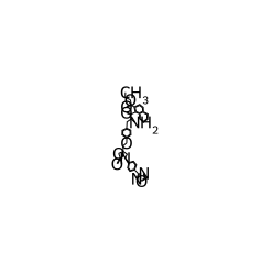 CCOC(=O)c1ccc2ccccc2c1C(=O)C(N)Cc1ccc(OCC2CN(c3ccc(-c4ncon4)cc3)C(=O)O2)cc1